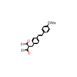 CCC(=O)C(Cc1ccc(C=Cc2ccc(OC)cc2)cc1)C(=O)CC